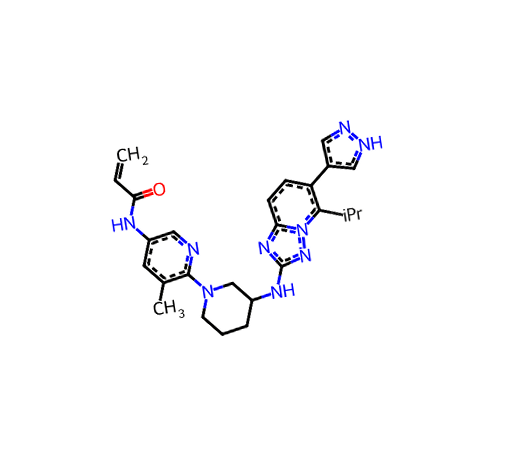 C=CC(=O)Nc1cnc(N2CCCC(Nc3nc4ccc(-c5cn[nH]c5)c(C(C)C)n4n3)C2)c(C)c1